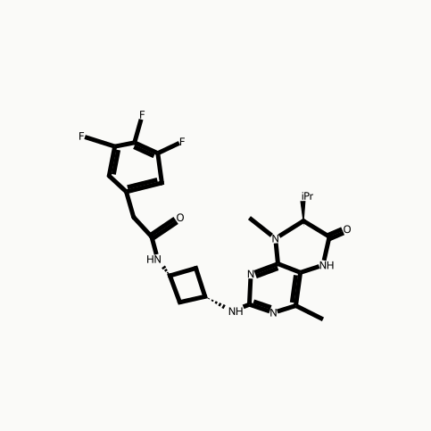 Cc1nc(N[C@H]2C[C@@H](NC(=O)Cc3cc(F)c(F)c(F)c3)C2)nc2c1NC(=O)[C@H](C(C)C)N2C